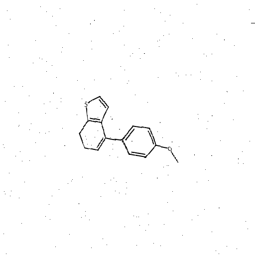 COc1ccc(C2=CCCc3sccc32)cc1